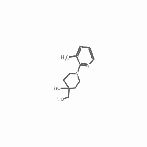 Cc1cccnc1N1CCC(O)(CO)CC1